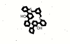 Oc1c(-c2ccccc2)cccc1-c1ccccc1SCc1cccc(CSc2ccccc2-c2cccc(-c3ccccc3)c2O)c1